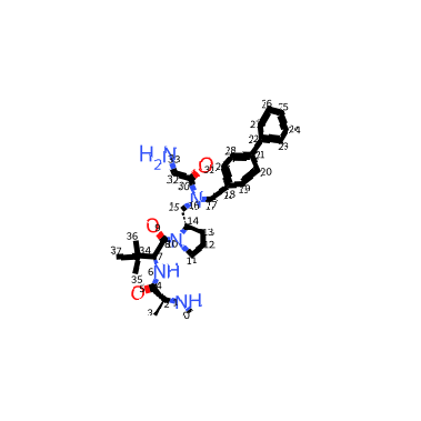 CN[C@@H](C)C(=O)N[C@H](C(=O)N1CCC[C@H]1CN(Cc1ccc(-c2ccccc2)cc1)C(=O)CN)C(C)(C)C